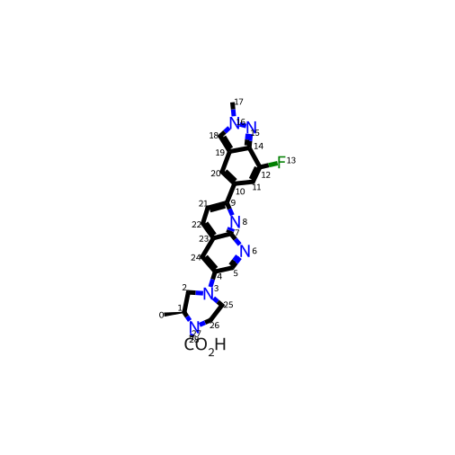 C[C@H]1CN(c2cnc3nc(-c4cc(F)c5nn(C)cc5c4)ccc3c2)CCN1C(=O)O